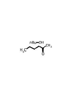 CCCCC(C)=O.CCCCO